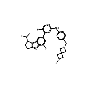 CCN1CC2(C1)CN(Cc1ccc(Nc3ncc(F)c(-c4cc(F)c5nc6n(c5c4)[C@H](C(F)F)CC6)n3)nc1)C2